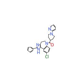 O=C(C1CCN(c2ccccn2)CC1)N1CCc2nc(-c3ccccc3)[nH]c2-c2cc(Cl)ccc21